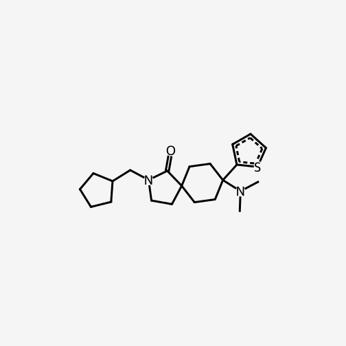 CN(C)C1(c2cccs2)CCC2(CCN(CC3CCCC3)C2=O)CC1